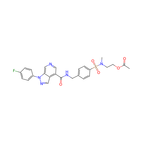 CC(=O)OCCN(C)S(=O)(=O)c1ccc(CNC(=O)c2cncc3c2cnn3-c2ccc(F)cc2)cc1